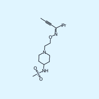 CC#C/C(=N\OCCN1CCC(NS(C)(=O)=O)CC1)C(C)C